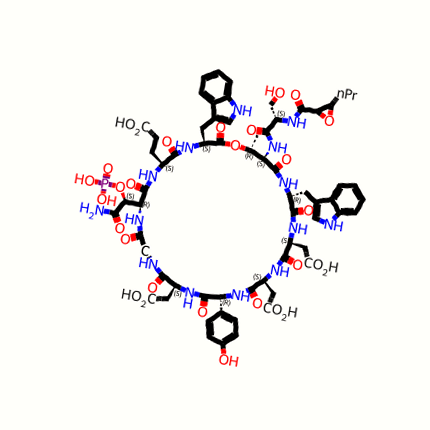 CCCC1OC1C(=O)N[C@@H](CO)C(=O)N[C@@H]1C(=O)N[C@H](Cc2c[nH]c3ccccc23)C(=O)N[C@@H](CC(=O)O)C(=O)N[C@@H](CC(=O)O)C(=O)N[C@H](c2ccc(O)cc2)C(=O)N[C@@H](CC(=O)O)C(=O)NCC(=O)N[C@H]([C@H](OP(=O)(O)O)C(N)=O)C(=O)N[C@@H](CCC(=O)O)C(=O)N[C@@H](Cc2c[nH]c3ccccc23)C(=O)O[C@@H]1C